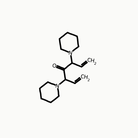 C=CC(C(=O)C(C=C)N1CCCCC1)N1CCCCC1